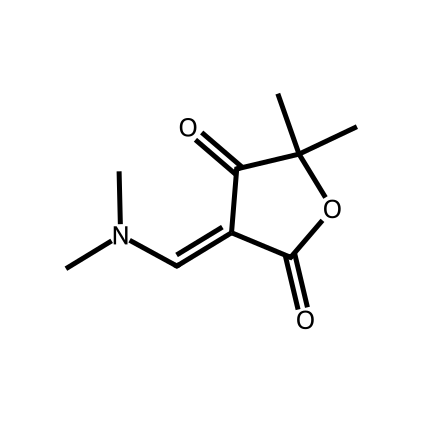 CN(C)C=C1C(=O)OC(C)(C)C1=O